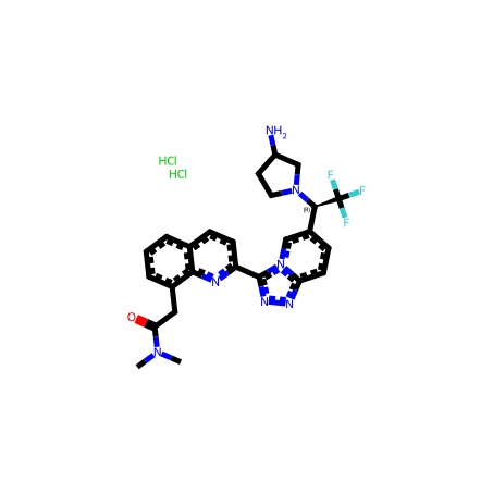 CN(C)C(=O)Cc1cccc2ccc(-c3nnc4ccc([C@@H](N5CCC(N)C5)C(F)(F)F)cn34)nc12.Cl.Cl